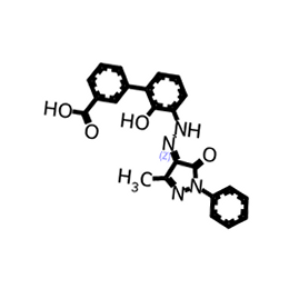 CC1=NN(c2ccccc2)C(=O)/C1=N\Nc1cccc(-c2cccc(C(=O)O)c2)c1O